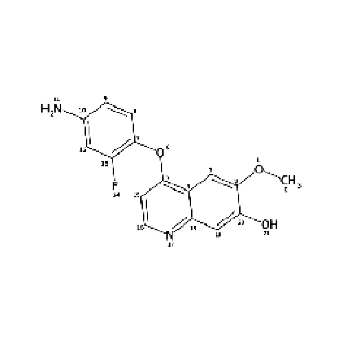 COc1cc2c(Oc3ccc(N)cc3F)ccnc2cc1O